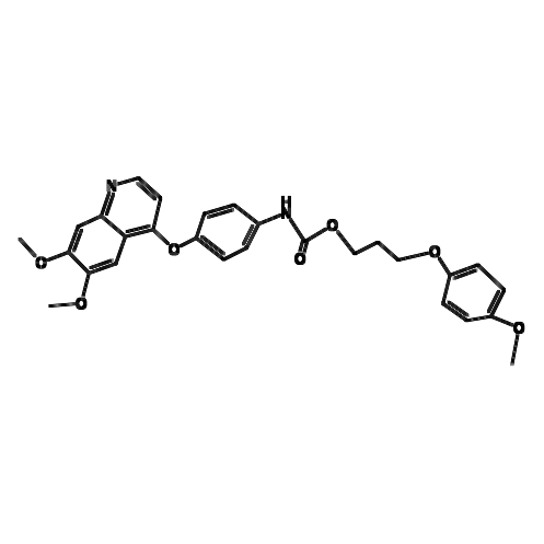 COc1ccc(OCCCOC(=O)Nc2ccc(Oc3ccnc4cc(OC)c(OC)cc34)cc2)cc1